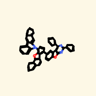 c1ccc(-c2nc(-c3ccccc3)c3c(n2)oc2ccc(-c4ccc(-n5c6ccccc6c6cc7ccccc7cc65)c5oc6c7ccccc7ccc6c45)cc23)cc1